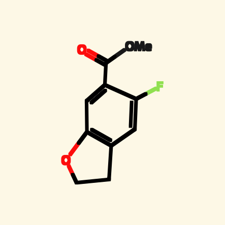 COC(=O)c1cc2c(cc1F)CCO2